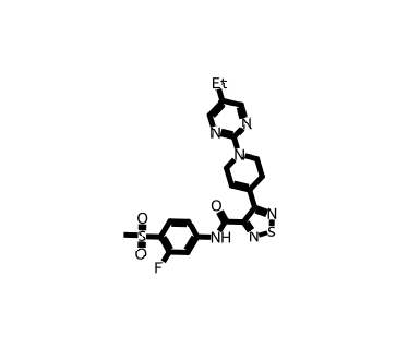 CCc1cnc(N2CC=C(c3nsnc3C(=O)Nc3ccc(S(C)(=O)=O)c(F)c3)CC2)nc1